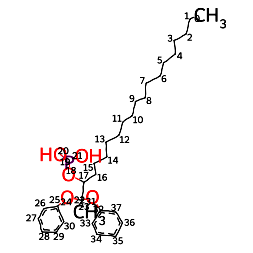 CCCCCCCCCCCCCCCCCC(OP(O)O)C(C)(Oc1ccccc1)Oc1ccccc1